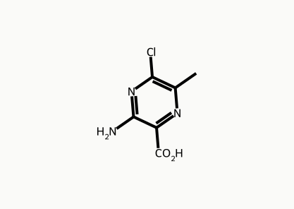 Cc1nc(C(=O)O)c(N)nc1Cl